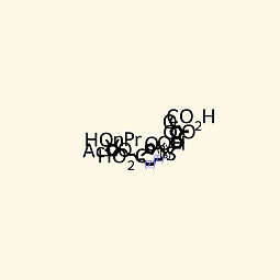 CCCc1c(OCCCC/C=C\C=C\[C@H](Sc2ccc3c(=O)cc(OC(=O)O)oc3c2)[C@H](O)c2cc(C(=O)O)co2)ccc(C(C)=O)c1O